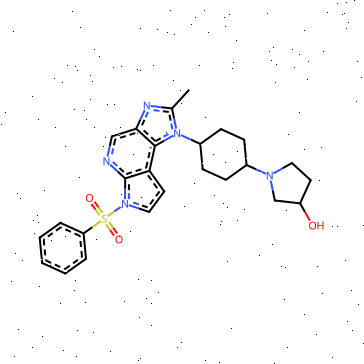 Cc1nc2cnc3c(ccn3S(=O)(=O)c3ccccc3)c2n1C1CCC(N2CCC(O)C2)CC1